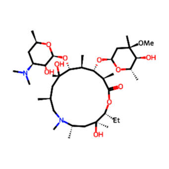 CC[C@H]1OC(=O)[C@H](C)[C@@H](O[C@H]2C[C@@](C)(OC)[C@@H](O)[C@H](C)O2)[C@H](C)[C@@H](O[C@@H]2O[C@H](C)C[C@H](N(C)C)[C@H]2O)[C@@](C)(O)C[C@H](C)CN(C)[C@@H](C)C[C@]1(C)O